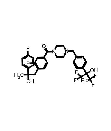 [CH2]C(O)(Cc1ccc(C(=O)N2CCN(Cc3ccc(C(O)(C(F)(F)F)C(F)(F)F)cc3)CC2)cc1F)c1ccc(F)cc1